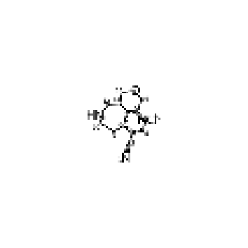 Cl.N#Cc1ccc2c3c1CCNCC3COC2